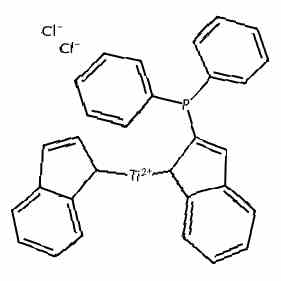 C1=C[CH]([Ti+2][CH]2C(P(c3ccccc3)c3ccccc3)=Cc3ccccc32)c2ccccc21.[Cl-].[Cl-]